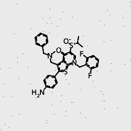 CC(C)[S+]([O-])c1cn(Cc2c(F)cccc2F)c2sc(-c3ccc(N)cc3)c(CN(C)Cc3ccccc3)c2c1=O